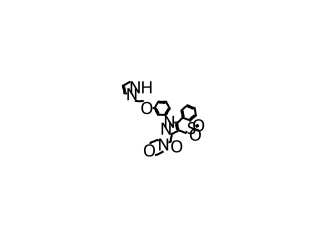 O=C(c1nn(-c2cccc(OCCN3C=CCN3)c2)c2c1CS(=O)(=O)c1ccccc1-2)N1CCOCC1